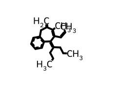 C=C1Cc2ccccc2C(=C(CCC)CCC)C(/C=C\C)=C1C